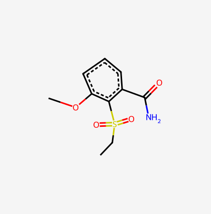 CCS(=O)(=O)c1c(OC)cccc1C(N)=O